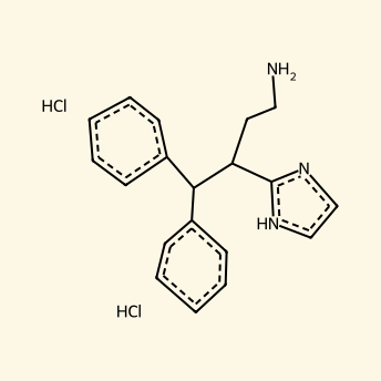 Cl.Cl.NCCC(c1ncc[nH]1)C(c1ccccc1)c1ccccc1